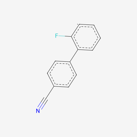 N#Cc1ccc(-c2ccc[c]c2F)cc1